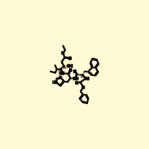 CCOC(=O)C[C@H](O)[C@@H](NC(=O)C(Cc1c[nH]cn1)NC(=O)[C@H](Cc1cccc2ccccc12)NC(=O)OCc1ccccc1)C(C)CC